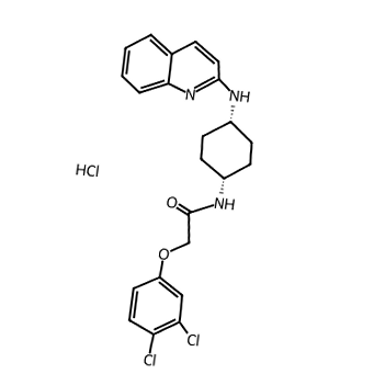 Cl.O=C(COc1ccc(Cl)c(Cl)c1)N[C@H]1CC[C@@H](Nc2ccc3ccccc3n2)CC1